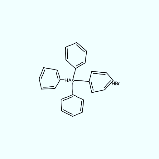 Br.c1ccc([AsH](c2ccccc2)(c2ccccc2)c2ccccc2)cc1